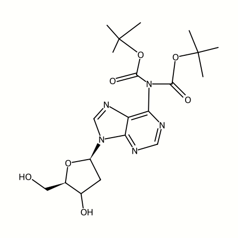 CC(C)(C)OC(=O)N(C(=O)OC(C)(C)C)c1ncnc2c1ncn2[C@H]1CC(O)[C@@H](CO)O1